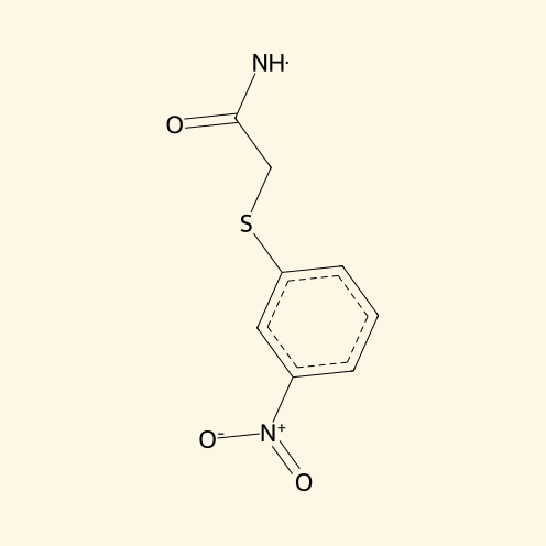 [NH]C(=O)CSc1cccc([N+](=O)[O-])c1